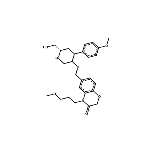 COCCCN1C(=O)COc2ccc(COC3CN[C@H](CO)CC3c3ccc(OC)cc3)cc21